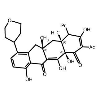 CC(=O)C1=C(O)C(C(C)C)[C@@]2(C)C[C@@]3(C)Cc4c(C5CCOCC5)ccc(O)c4C(=O)C3=C(O)[C@@]2(O)C1=O